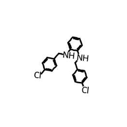 Clc1ccc(CNc2ccccc2NCc2ccc(Cl)cc2)cc1